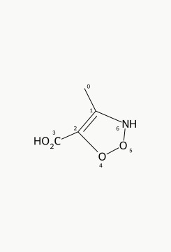 CC1=C(C(=O)O)OON1